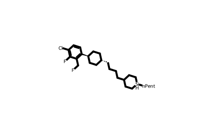 CCCCC[SiH]1CCC(CCCC[C@H]2CC[C@H](c3ccc(Cl)c(F)c3CF)CC2)CC1